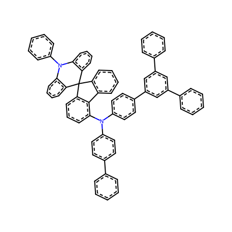 c1ccc(-c2ccc(N(c3ccc(-c4cc(-c5ccccc5)cc(-c5ccccc5)c4)cc3)c3cccc4c3-c3ccccc3C43c4ccccc4N(c4ccccc4)c4ccccc43)cc2)cc1